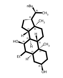 CCCC[C@@H](C)[C@H]1CC[C@H]2[C@@H]3[C@H](O)C(CC)[C@@H]4C[C@H](O)CC[C@]4(C)[C@H]3CC[C@]12C